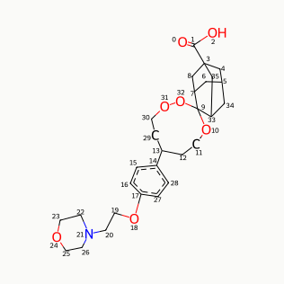 O=C(O)C12CC3CC(C1)C1(OCCC(c4ccc(OCCN5CCOCC5)cc4)CCOO1)C(C3)C2